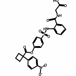 O=C(O)CNC(=O)c1ccccc1NS(=O)(=O)c1ccc(OC(=O)C2(c3ccc([N+](=O)[O-])cc3)CCC2)cc1